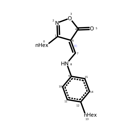 CCCCCCC1=NOC(=O)/C1=C/Nc1ccc(CCCCCC)cc1